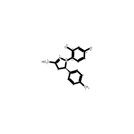 Cc1ccc([C@H]2CC(C(=O)O)=NN2c2ccc(Cl)cc2Cl)cc1